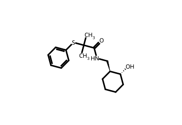 CC(C)(Sc1ccccc1)C(=O)NC[C@@H]1CCCC[C@H]1O